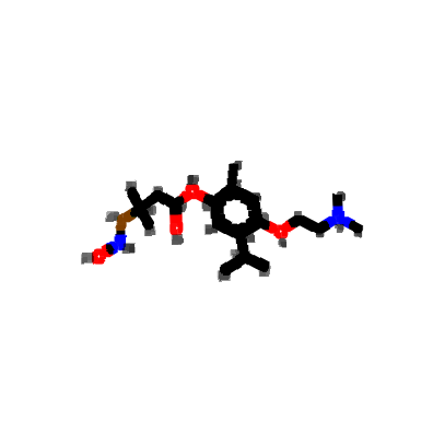 Cc1cc(OCCN(C)C)c(C(C)C)cc1OC(=O)CC(C)(C)SN=O